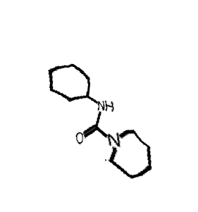 O=C(NC1CCCCC1)N1[CH]CCCC1